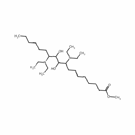 CCCCCCC(C(O)C(O)C(CCCCCCCC(=O)OC)N(CC)CC)N(CC)CC